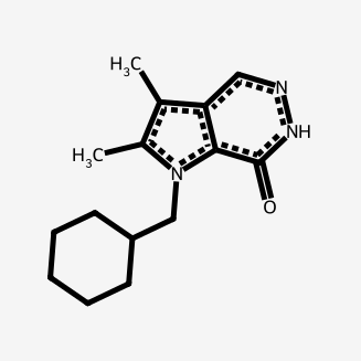 Cc1c(C)n(CC2CCCCC2)c2c(=O)[nH]ncc12